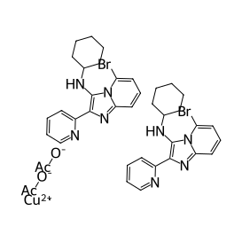 Brc1cccc2nc(-c3ccccn3)c(NC3CCCCC3)n12.Brc1cccc2nc(-c3ccccn3)c(NC3CCCCC3)n12.CC(=O)[O-].CC(=O)[O-].[Cu+2]